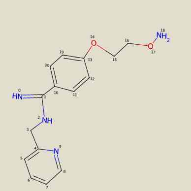 N=C(NCc1ccccn1)c1ccc(OCCON)cc1